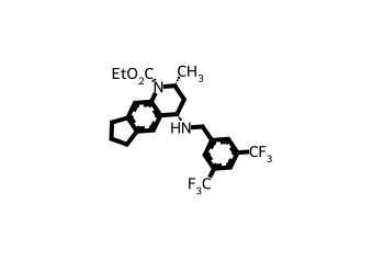 CCOC(=O)N1c2cc3c(cc2[C@@H](NCc2cc(C(F)(F)F)cc(C(F)(F)F)c2)C[C@H]1C)CCC3